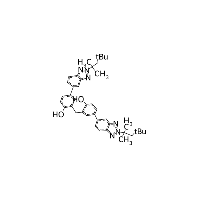 CC(C)(C)CC(C)(C)n1nc2ccc(-c3ccc(O)c(Cc4cc(-c5ccc6nn(C(C)(C)CC(C)(C)C)nc6c5)ccc4O)c3)cc2n1